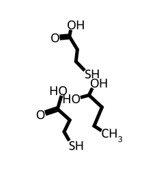 CCCC(O)O.O=C(O)CCS.O=C(O)CCS